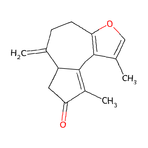 C=C1CCc2occ(C)c2C2=C(C)C(=O)CC12